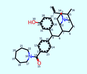 C=CCN1C2CCC(CC(c3ccc(C(=O)N4CCCCCC4)cc3)c3cccc(O)c3)C1CCC2C